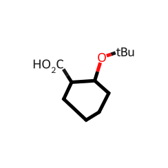 CC(C)(C)OC1CCCCC1C(=O)O